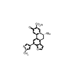 Cn1cc(-c2cc3c(c4ccoc24)C[C@@H](C(C)(C)C)n2cc(C(=O)O)c(=O)cc2-3)cn1